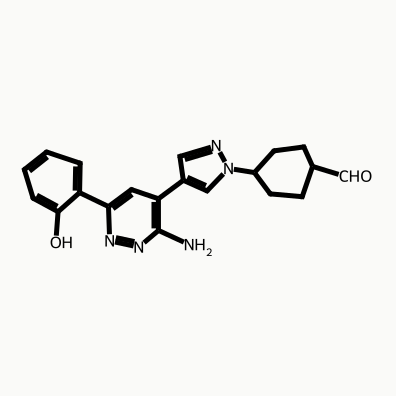 Nc1nnc(-c2ccccc2O)cc1-c1cnn(C2CCC(C=O)CC2)c1